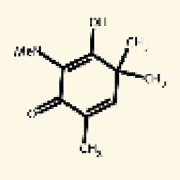 CNC1=C(O)C(C)(C)C=C(C)C1=O